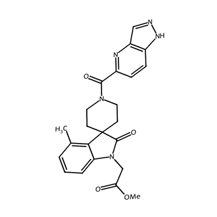 COC(=O)CN1C(=O)C2(CCN(C(=O)c3ccc4[nH]ncc4n3)CC2)c2c(C)cccc21